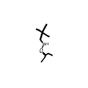 CC(C)OBCC(C)(C)C